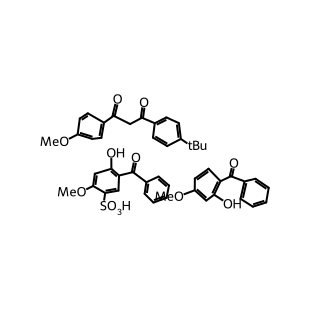 COc1cc(O)c(C(=O)c2ccccc2)cc1S(=O)(=O)O.COc1ccc(C(=O)CC(=O)c2ccc(C(C)(C)C)cc2)cc1.COc1ccc(C(=O)c2ccccc2)c(O)c1